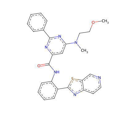 COCCN(C)c1cc(C(=O)Nc2ccccc2-c2nc3ccncc3s2)nc(-c2ccccc2)n1